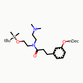 CCCCCCCCCCOc1cccc(CCC(=O)N(CCO[Si](C)(C)C(C)(C)C)CCN(C)C)c1